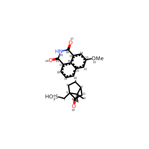 CC1(C)C2CCC1(CS(=O)(=O)O)C(=O)C2.COc1cc2c3c(cccc3c1)C(=O)NC2=O